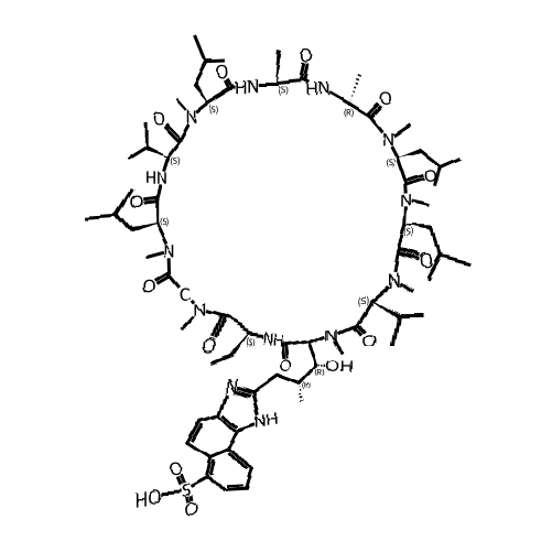 CC[C@@H]1NC(=O)C([C@H](O)[C@H](C)Cc2nc3ccc4c(S(=O)(=O)O)cccc4c3[nH]2)N(C)C(=O)[C@H](C(C)C)N(C)C(=O)[C@H](CC(C)C)N(C)C(=O)[C@H](CC(C)C)N(C)C(=O)[C@@H](C)NC(=O)[C@H](C)NC(=O)[C@H](CC(C)C)N(C)C(=O)[C@H](C(C)C)NC(=O)[C@H](CC(C)C)N(C)C(=O)CN(C)C1=O